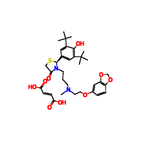 CN(CCCN1C(=O)CS[C@H]1c1cc(C(C)(C)C)c(O)c(C(C)(C)C)c1)CCOc1ccc2c(c1)OCO2.O=C(O)C=CC(=O)O